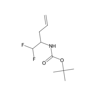 C=CCC(NC(=O)OC(C)(C)C)C(F)F